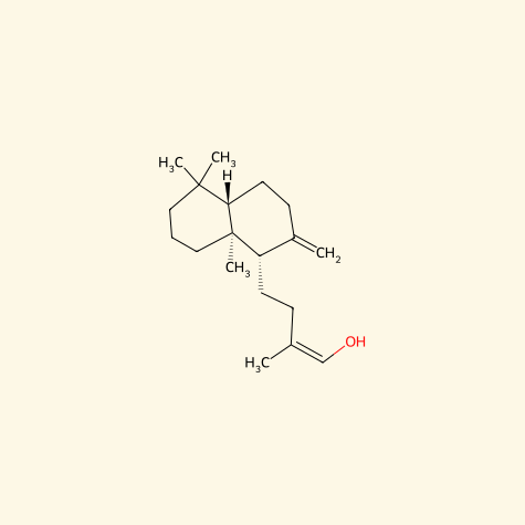 C=C1CC[C@H]2C(C)(C)CCC[C@]2(C)[C@H]1CC/C(C)=C\O